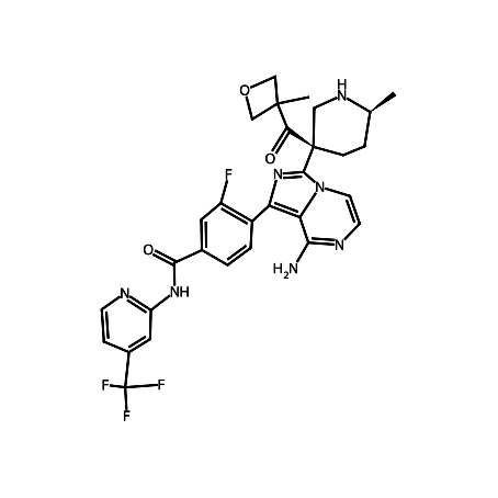 C[C@H]1CC[C@](C(=O)C2(C)COC2)(c2nc(-c3ccc(C(=O)Nc4cc(C(F)(F)F)ccn4)cc3F)c3c(N)nccn23)CN1